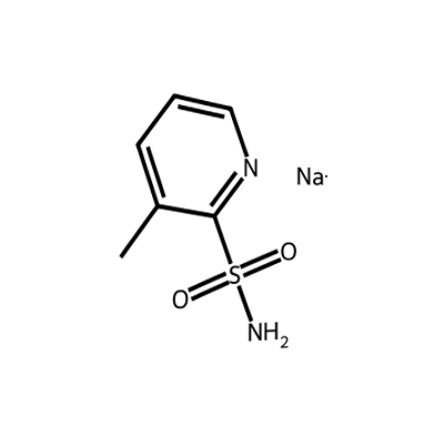 Cc1cccnc1S(N)(=O)=O.[Na]